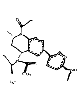 CNc1ccc(-c2ccc3c(c2)[C@H](N(C(=O)O)C(C)C)C[C@H](C)N3C(C)=O)cn1.Cl